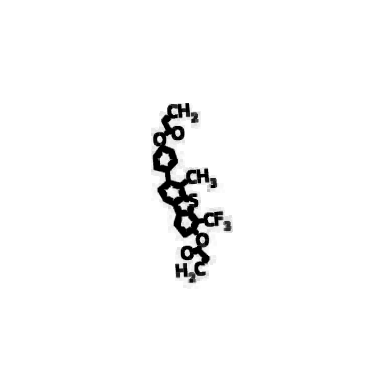 C=CC(=O)Oc1ccc(-c2ccc3c(sc4c(C(F)(F)F)c(OC(=O)C=C)ccc43)c2C)cc1